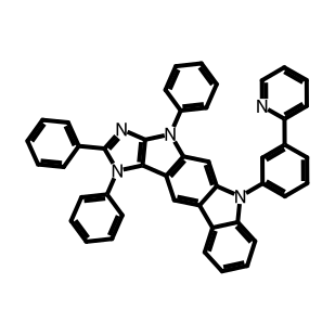 c1ccc(-c2nc3c(c4cc5c6ccccc6n(-c6cccc(-c7ccccn7)c6)c5cc4n3-c3ccccc3)n2-c2ccccc2)cc1